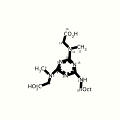 CCCCCCCCNc1nc(N(C)CC(=O)O)nc(N(C)CC(=O)O)n1